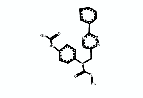 CC(C)(C)OC(=O)N(Cc1nnc(-c2ccccc2)nn1)c1ccc(NC(=O)C(C)(C)C)cc1